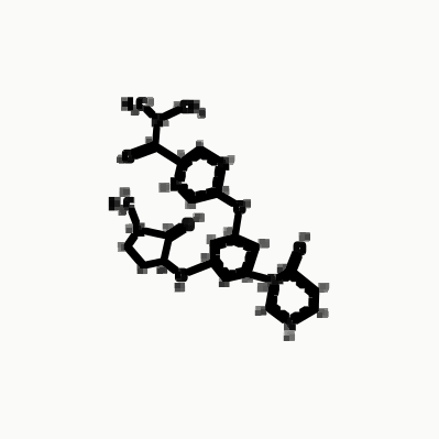 CN(C)C(=O)c1cnc(Oc2cc(OC3CCN(C)C3=O)cc(-n3cnccc3=O)c2)cn1